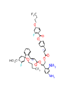 Nc1ccc(C(COC(=O)/C=C/c2ccc(OC(=O)c3ccc(OCCCC(F)(F)F)cc3F)cc2)COC(=O)/C=C/c2ccccc2C2(OCCCC(F)(F)F)C=CC(C(=O)O)C(F)=C2)c(N)c1